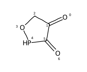 O=C1COPC1=O